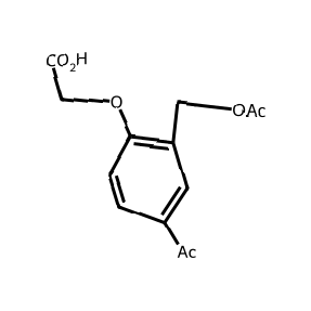 CC(=O)OCc1cc(C(C)=O)ccc1OCC(=O)O